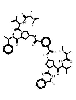 CN[C@@H](C)C(=O)N[C@H](C(=O)N1C[C@@H](NC(=O)c2cccc(C(=O)N[C@H]3C[C@@H](C(=O)N[C@H](C)c4ccccc4)N(C(=O)[C@@H](NC(=O)[C@H](C)N(C)Cl)C(C)C)C3)c2)C[C@H]1C(=O)N[C@H](C)c1ccccc1)C(C)C